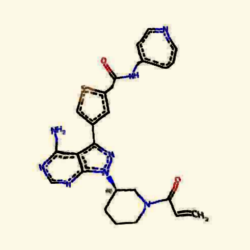 C=CC(=O)N1CCC[C@@H](n2nc(-c3csc(C(=O)Nc4ccncc4)c3)c3c(N)ncnc32)C1